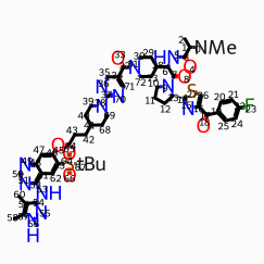 CNC(C)C(=O)NC(C(=O)N1CCC[C@H]1c1nc(C(=O)c2ccc(F)cc2)cs1)C1CCN(C(=O)c2cnc(N3CCC(CCCOc4cc5ncnc(Nc6n[nH]c(C)c6C)c5cc4S(=O)(=O)C(C)(C)C)CC3)nc2)CC1